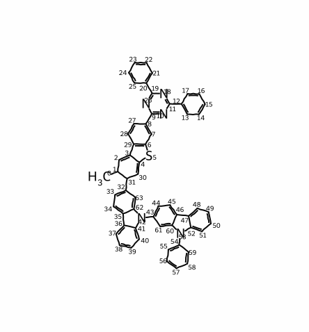 CC1C=c2c(sc3cc(-c4nc(-c5ccccc5)nc(-c5ccccc5)n4)ccc23)=CC1c1ccc2c3ccccc3n(-c3ccc4c5ccccc5n(-c5ccccc5)c4c3)c2c1